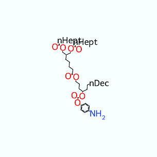 CCCCCCCCCCCCC(CCCOC(=O)CCCCC(COC(=O)CCCCCCC)COC(=O)CCCCCCC)OC(=O)Oc1ccc(N)cc1